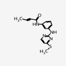 CC#CC(=O)Nc1cccc(Nc2nccc(SC)n2)c1